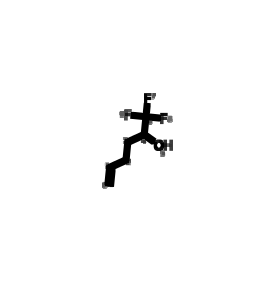 [CH]=CCCC(O)C(F)(F)F